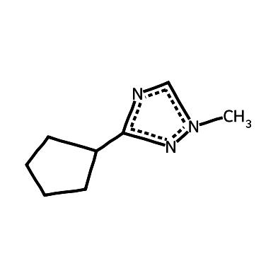 Cn1cnc(C2CCCC2)n1